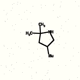 CCC(C)C1CNC(C)(C)C1